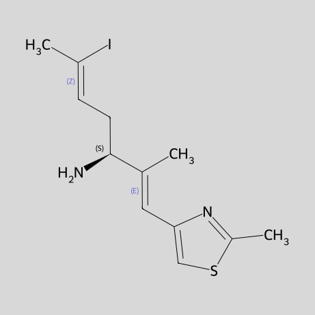 C/C(I)=C/C[C@H](N)/C(C)=C/c1csc(C)n1